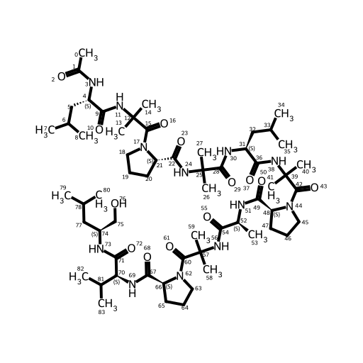 CC(=O)N[C@@H](CC(C)C)C(=O)NC(C)(C)C(=O)N1CCC[C@H]1C(=O)NC(C)(C)C(=O)N[C@@H](CC(C)C)C(=O)NC(C)(C)C(=O)N1CCC[C@H]1C(=O)N[C@@H](C)C(=O)NC(C)(C)C(=O)N1CCC[C@H]1C(=O)N[C@H](C(=O)N[C@H](CO)CC(C)C)C(C)C